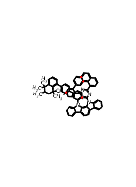 CC1CC(C)(C)c2c(-c3ccc(-c4cccc(-n5c6ccccc6c6ccc7c8ccccc8n(-c8nc(-c9ccccc9-c9ccccc9)nc(-c9cccc%10ccccc9%10)n8)c7c65)c4)cc3)cccc2C1(C)C